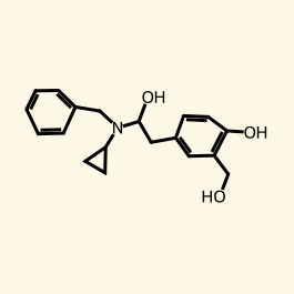 OCc1cc(CC(O)N(Cc2ccccc2)C2CC2)ccc1O